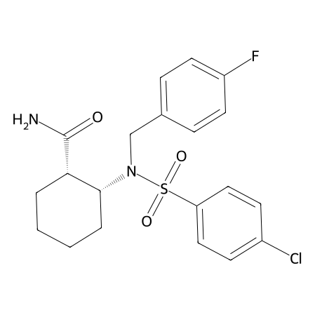 NC(=O)[C@H]1CCCC[C@H]1N(Cc1ccc(F)cc1)S(=O)(=O)c1ccc(Cl)cc1